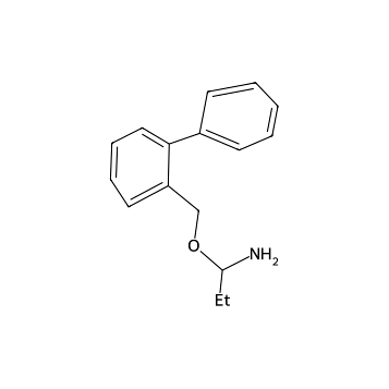 CCC(N)OCc1ccccc1-c1ccccc1